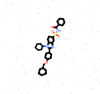 O=C(NS(=O)(=O)c1ccc2c(c1)nc(-c1ccc(OCc3ccccc3)cc1)n2C1CCCCC1)c1ccccc1